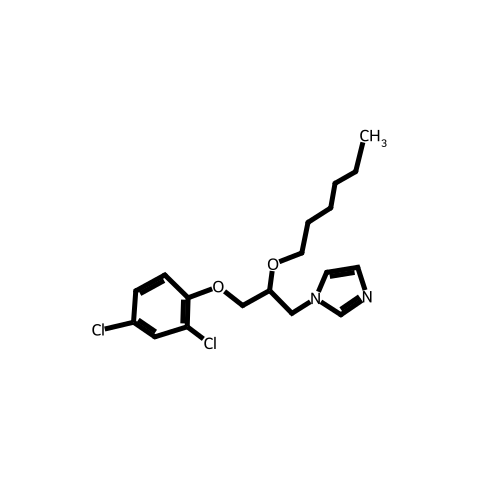 CCCCCCOC(COc1ccc(Cl)cc1Cl)Cn1ccnc1